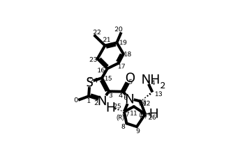 Cc1nc(C(=O)N2[C@@H]3CC[C@@H](C3)[C@H]2CN)c(-c2ccc(C)c(C)c2)s1